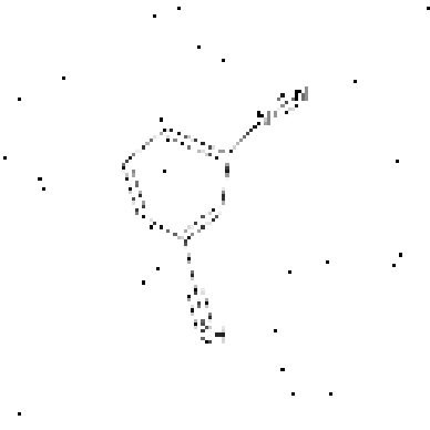 C#Cc1cccc([N+]#N)c1